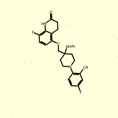 CC(=O)NC1(COc2ccc(F)c3c2CCC(=O)N3)CCN(c2ccc(F)cc2C#N)CC1